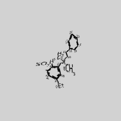 CCc1ccc(S(=O)(=O)O)c([Si](C)(C)CCc2ccccc2)c1